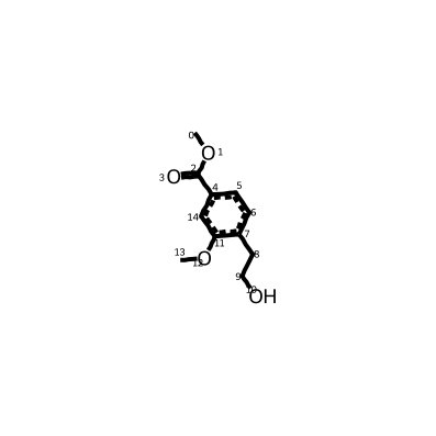 COC(=O)c1ccc(CCO)c(OC)c1